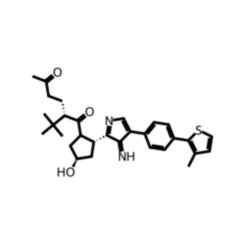 CC(=O)CC[C@H](C(=O)C1C[C@H](O)C[C@H]1C1=NC=C(c2ccc(-c3sccc3C)cc2)C1=N)C(C)(C)C